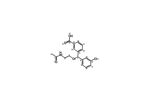 CC(=O)NCCOC(c1cccc(Cl)c1)c1cccc(C(=O)O)c1